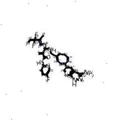 C=C(C(=O)Nc1ccc(F)cn1)/C(=N\C=C(/C)C(F)(F)CF)NC/C1=C/C=C(c2cnc3[nH]nc(N)c3c2)\C=C/CC1